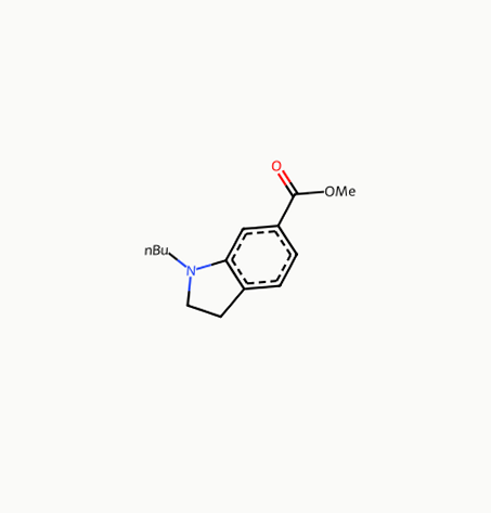 CCCCN1CCc2ccc(C(=O)OC)cc21